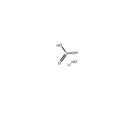 O=S(O)O.[Li+].[OH-]